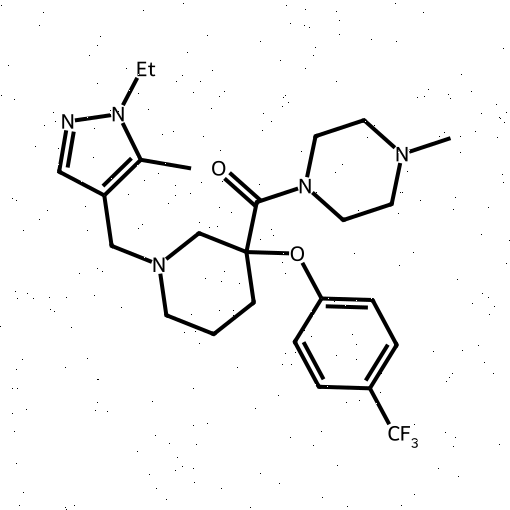 CCn1ncc(CN2CCCC(Oc3ccc(C(F)(F)F)cc3)(C(=O)N3CCN(C)CC3)C2)c1C